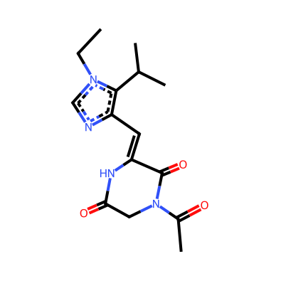 CCn1cnc(/C=C2\NC(=O)CN(C(C)=O)C2=O)c1C(C)C